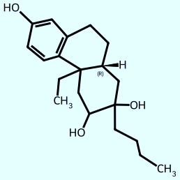 CCCCC1(O)C[C@H]2CCc3cc(O)ccc3C2(CC)CC1O